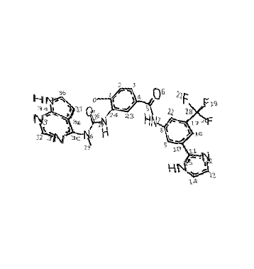 Cc1ccc(C(=O)Nc2cc(-c3ncc[nH]3)cc(C(F)(F)F)c2)cc1NC(=O)N(C)c1ncnc2[nH]ccc12